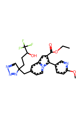 CCOC(=O)c1cc2cc(CC3(CCC(O)C(F)(F)F)C=NN=N3)ccn2c1-c1ccc(OC)nc1